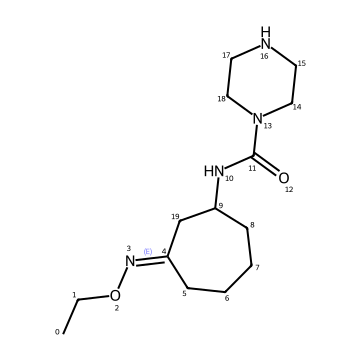 CCO/N=C1\CCCCC(NC(=O)N2CCNCC2)C1